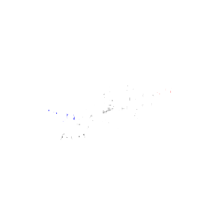 CC(=O)O[C@@H]1CC2=C3CCC4C[C@@H](O)C=C[C@]4(C)[C@H]3CC[C@]2(C)[C@H]1N